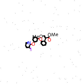 CO/C=C(/C(=O)OC)c1ccccc1Oc1cccc(Oc2ncccc2I)c1